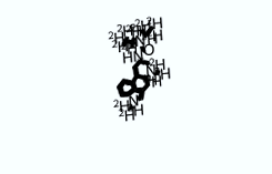 [2H]C([2H])([2H])N1C[C@@H](NC(=O)N(C([2H])([2H])C([2H])([2H])[2H])C([2H])([2H])C([2H])([2H])[2H])C=C2c3cccc4c3c(cn4C([2H])([2H])[2H])C[C@H]21